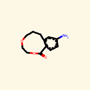 Nc1ccc2c(c1)CCCOCCOC2=O